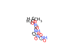 CC(C)(C)OC(=O)N1CCO[C@@H](CNc2cccc3c2C(=O)N(C2CCC(=O)NC2=O)C3=O)C1